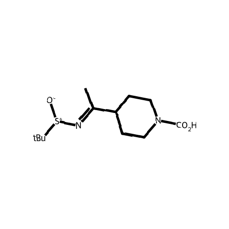 CC(=N[S+]([O-])C(C)(C)C)C1CCN(C(=O)O)CC1